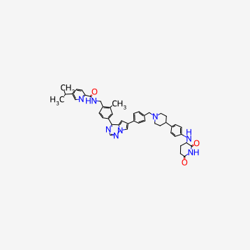 Cc1cc(-c2ncnn3cc(-c4ccc(CN5CCC(c6ccc(NC7CCC(=O)NC7=O)cc6)CC5)cc4)cc23)ccc1CNC(=O)c1ccc(C(C)C)cn1